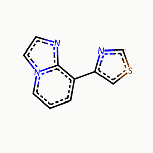 [c]1nc(-c2cccn3ccnc23)cs1